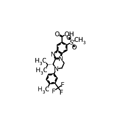 Cc1ccc(N2CCn3c(nc4cc(C(=O)O)c(S(C)(=O)=O)cc43)[C@H]2C(C)C)cc1C(F)(F)F